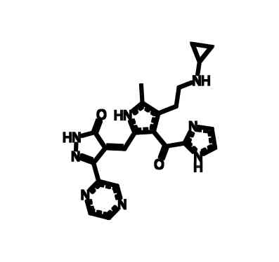 Cc1[nH]c(C=C2C(=O)NN=C2c2cnccn2)c(C(=O)c2ncc[nH]2)c1CCNC1CC1